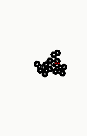 c1ccc(-c2cccc3ccccc23)c(-c2ccccc2N(c2ccc3c(c2)C2(c4ccccc4-c4ccccc42)c2ccccc2-3)c2ccc3c(c2)C2(c4ccccc4-3)c3ccccc3-n3c4ccccc4c4cccc2c43)c1